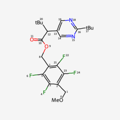 COCc1c(F)c(F)c(COC(=O)C(c2cnc(C(C)(C)C)nc2)C(C)(C)C)c(F)c1F